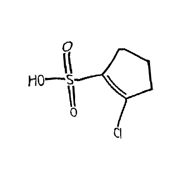 O=S(=O)(O)C1=C(Cl)CCC1